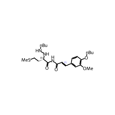 CCCCNN[C@@H](CCSC)C(=O)NC(=O)/C=C/c1ccc(OCCCC)c(OC)c1